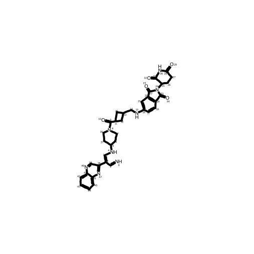 N=C/C(=C\NC1CCN(C(=O)C2CC(CNc3ccc4c(c3)C(=O)N(C3CCC(=O)NC3=O)C4=O)C2)CC1)c1cnc2ccccc2n1